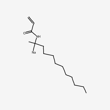 C=CC(=O)N[C](C)([Na])CCCCCCCCCC